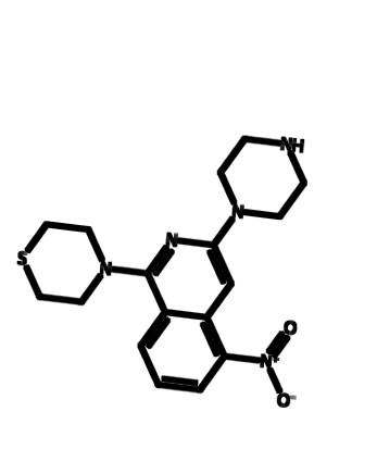 O=[N+]([O-])c1cccc2c(N3CCSCC3)nc(N3CCNCC3)cc12